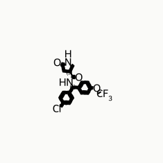 O=C1C[C@H](C(=O)N[C@H](c2ccc(Cl)cc2)c2ccc(OC(F)(F)F)cc2)CN1